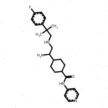 CC(C)(CNCC(N)C1CCC(C(=O)Nc2ccncc2)CC1)c1ccc(F)cc1